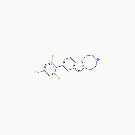 Fc1cc(Cl)cc(F)c1-c1ccc2c(c1)cc1n2CCNCC1